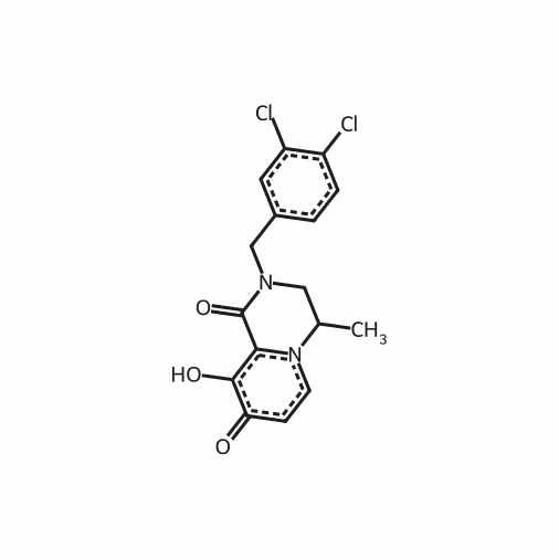 CC1CN(Cc2ccc(Cl)c(Cl)c2)C(=O)c2c(O)c(=O)ccn21